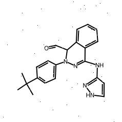 CC(C)(C)c1ccc(N2N=C(Nc3cc[nH]n3)c3ccccc3C2C=O)cc1